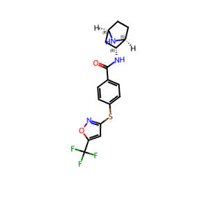 O=C(N[C@@H]1C[C@H]2CC[C@@H]1N2)c1ccc(Sc2cc(C(F)(F)F)on2)cc1